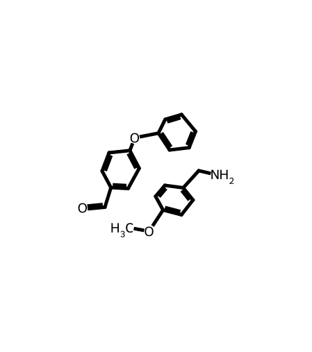 COc1ccc(CN)cc1.O=Cc1ccc(Oc2ccccc2)cc1